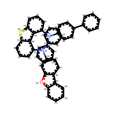 c1ccc(-c2ccc(N(c3ccccc3)c3cccc4sc5cccc(N(c6ccccc6)c6ccc7c(c6)oc6ccccc67)c5c34)cc2)cc1